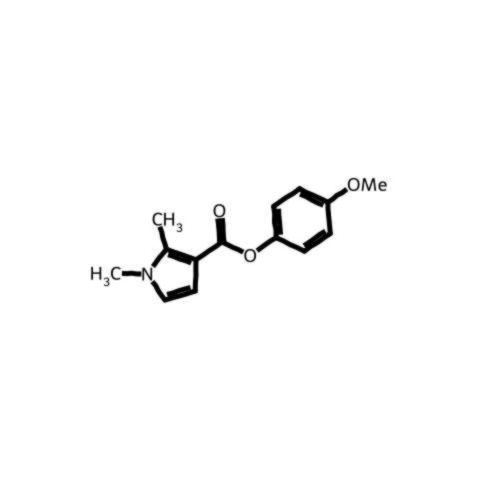 COc1ccc(OC(=O)c2ccn(C)c2C)cc1